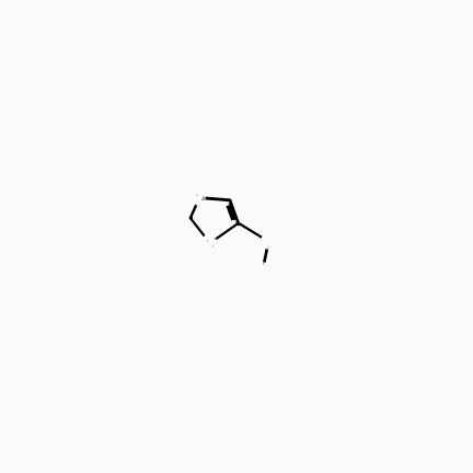 COC1=C[N]CN1